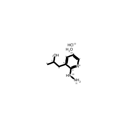 CC(O)Cc1cccnc1NN.Cl.O